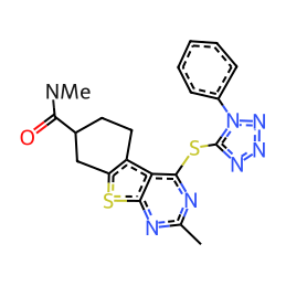 CNC(=O)C1CCc2c(sc3nc(C)nc(Sc4nnnn4-c4ccccc4)c23)C1